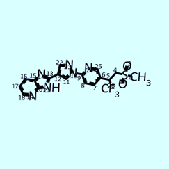 CS(=O)(=O)CC(c1ccc(-n2cc(-c3nc4cccnc4[nH]3)cn2)nc1)C(F)(F)F